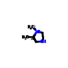 [CH2-][NH+]1CCNC[C@H]1C